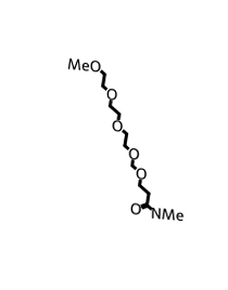 CNC(=O)CCOCOCCOCCOCCOC